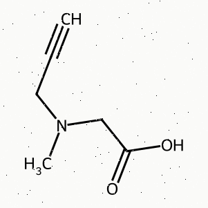 C#CCN(C)CC(=O)O